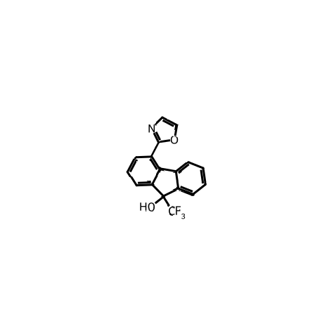 OC1(C(F)(F)F)c2ccccc2-c2c(-c3ncco3)cccc21